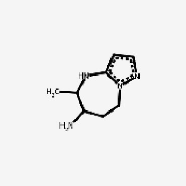 CC1Nc2ccnn2CCC1N